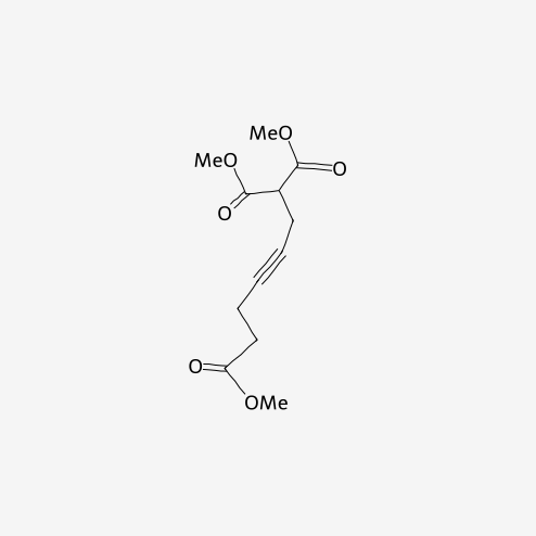 COC(=O)CCC#CCC(C(=O)OC)C(=O)OC